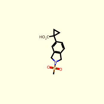 CS(=O)(=O)N1Cc2ccc(C3(C(=O)O)CC3)cc2C1